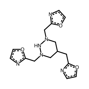 c1coc(CC2CN(Cc3ncco3)NN(Cc3ncco3)C2)n1